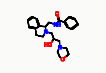 O=C(NCC1c2ccccc2CCN1CC(O)CN1CCOCC1)c1ccccc1